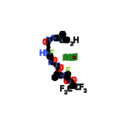 CN(CCN1CCC(N(C(=O)O)c2ccccc2-c2ccccc2)CC1)C(=O)CCCCCNc1ccc(C(=O)N(C)CCCN(C)C(=O)CO[C@H]2Cc3ccccc3C23CCN(CC[C@]2(c4ccc(F)cc4)CN(C(=O)c4cc(C(F)(F)F)cc(C(F)(F)F)c4)CO2)CC3)cc1F.Cl.Cl.Cl